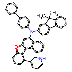 CC1(C)c2ccccc2-c2ccc(N(c3ccc(-c4ccccc4)cc3)c3cc4oc5cccc(C6=CC=CNC6)c5c4c4ccccc34)cc21